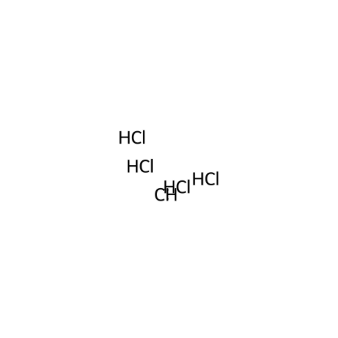 Cl.Cl.Cl.Cl.[CH]